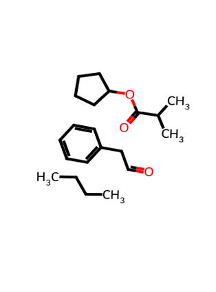 CC(C)C(=O)OC1CCCC1.CCCC.O=CCc1ccccc1